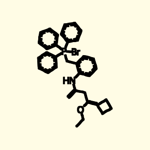 C=C(CC(OCC)=C1CCC1)Nc1ccccc1CP(Br)(c1ccccc1)(c1ccccc1)c1ccccc1